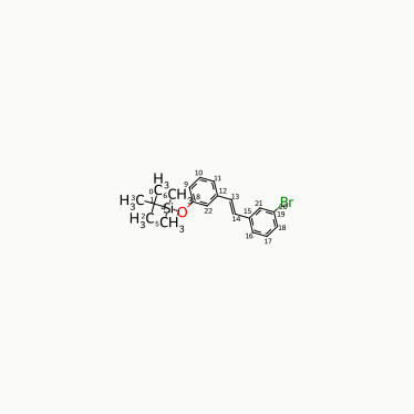 CC(C)(C)[Si](C)(C)Oc1cccc(C=Cc2cccc(Br)c2)c1